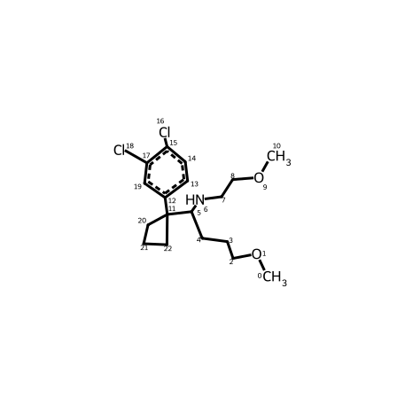 COCCCC(NCCOC)C1(c2ccc(Cl)c(Cl)c2)CCC1